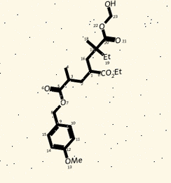 CCOC(=O)C(CC(C)C(=O)OCc1ccc(OC)cc1)CC(C)(CC)C(=O)OCO